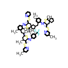 C=C1SC(=N\c2ccc(C)cc2CC2CCC3(CC(=C\Sc4ccccn4)/C(=N/c4ccc(C)c(C/C(C)=C5\CC(C)C(=C\Sc6cc(C)ccn6)/C(=N/c6ccc(C(F)(F)F)cc6)S5)c4C)SC3=C)C2)/C(=C/Sc2cc(C)ccn2)CC12CCCC2